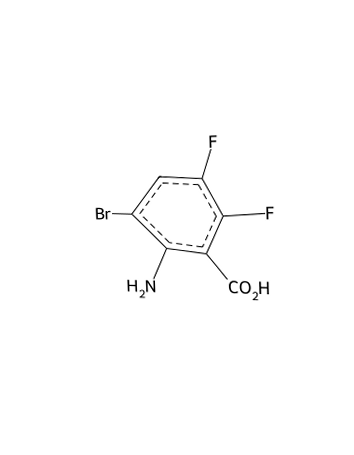 Nc1c(Br)cc(F)c(F)c1C(=O)O